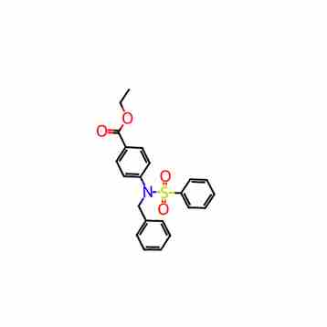 CCOC(=O)c1ccc(N(Cc2ccccc2)S(=O)(=O)c2ccccc2)cc1